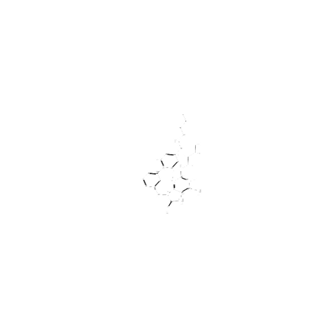 CCCCNCc1ccc(-c2cccc(Cn3c(=O)[nH]c4c(N)nc(OCCCC)nc43)c2)cc1